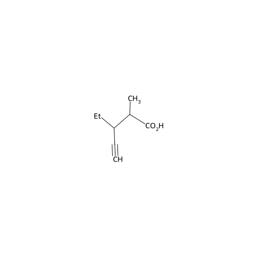 C#CC(CC)C(C)C(=O)O